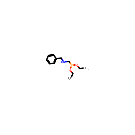 CCOP(CNCc1ccccc1)OCC